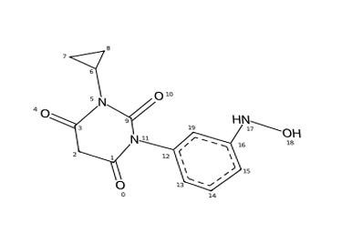 O=C1CC(=O)N(C2CC2)C(=O)N1c1cccc(NO)c1